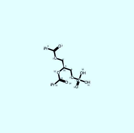 CC(C)C(=O)OC[C@@H](COP(=O)(O)O)OC(=O)C(C)C